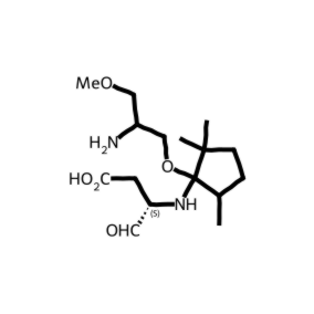 COCC(N)COC1(N[C@H](C=O)CC(=O)O)C(C)CCC1(C)C